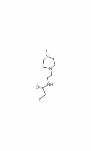 CN1CCN(CCNC(=O)CI)CC1